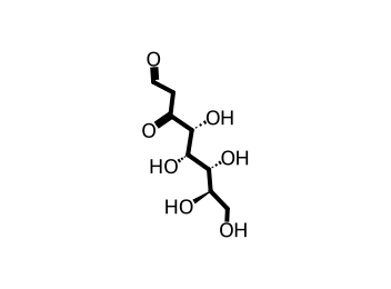 O=CCC(=O)[C@H](O)[C@@H](O)[C@H](O)[C@H](O)CO